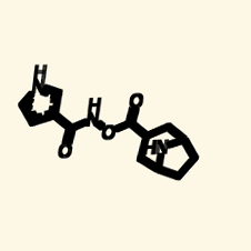 O=C(NOC(=O)C1CC2CCC(C1)N2)c1cc[nH]c1